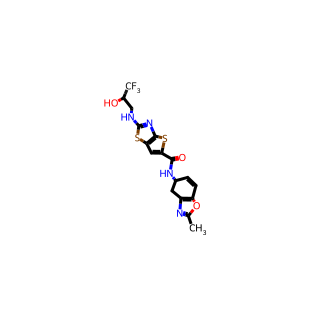 Cc1nc2c(o1)C=CC(NC(=O)c1cc3sc(NCC(O)C(F)(F)F)nc3s1)C2